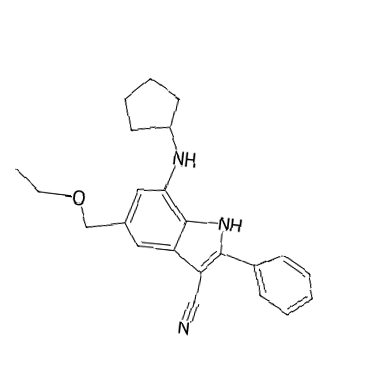 CCOCc1cc(NC2CCCC2)c2[nH]c(-c3ccccc3)c(C#N)c2c1